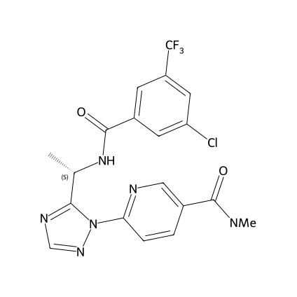 CNC(=O)c1ccc(-n2ncnc2[C@H](C)NC(=O)c2cc(Cl)cc(C(F)(F)F)c2)nc1